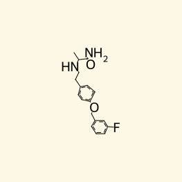 CC(NCCc1ccc(OCc2cccc(F)c2)cc1)C(N)=O